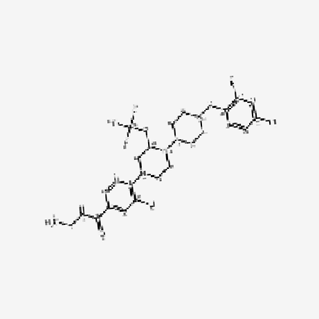 CCNC(=O)c1cnc(N2CCN(C3CCN(Cc4ccc(Cl)cc4F)CC3)C(CC(F)(F)F)C2)c(Cl)c1